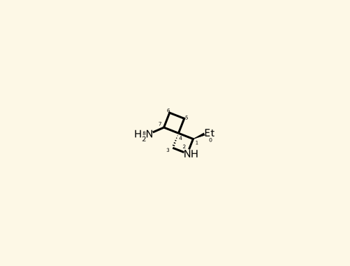 CC[C@H]1NC[C@]12CCC2N